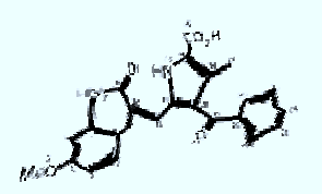 COc1ccc2c(c1)NC(=O)/C2=C\c1[nH]c(C(=O)O)c(C)c1C(=O)c1ccccc1